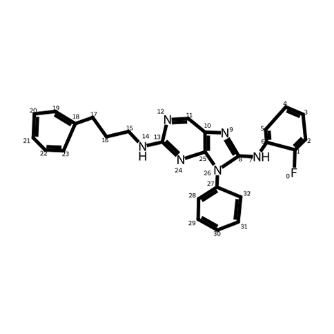 Fc1ccccc1Nc1nc2cnc(NCCCc3ccccc3)nc2n1-c1ccccc1